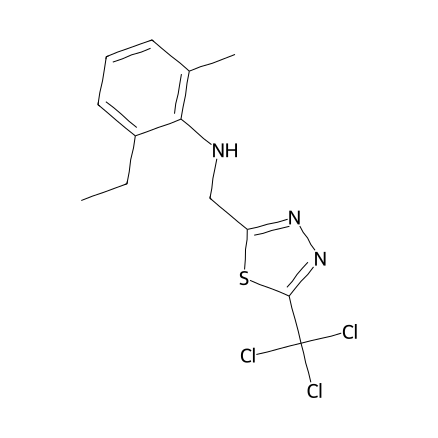 CCc1cccc(C)c1NCc1nnc(C(Cl)(Cl)Cl)s1